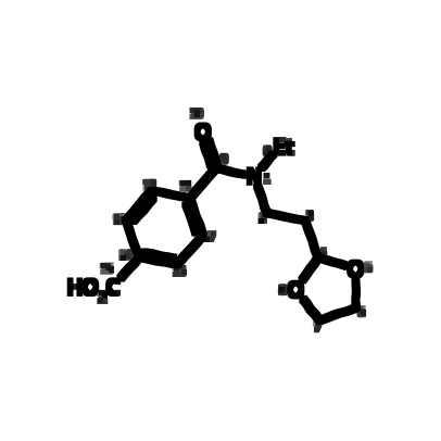 CCN(CCC1OCCO1)C(=O)c1ccc(C(=O)O)cc1